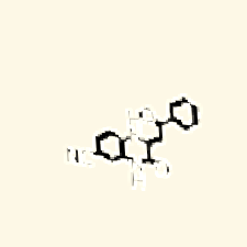 N#Cc1ccc2c(c1)NC(=O)/C(=C/C(=O)c1ccccc1)N2